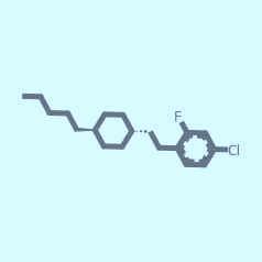 CCCCC[C@H]1CC[C@H](CCc2ccc(Cl)cc2F)CC1